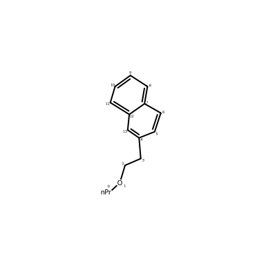 CCCOCCc1ccc2ccccc2c1